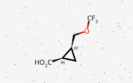 O=C(O)[C@@H]1C[C@@H]1COC(F)(F)F